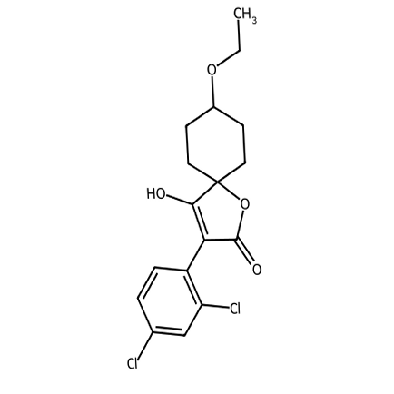 CCOC1CCC2(CC1)OC(=O)C(c1ccc(Cl)cc1Cl)=C2O